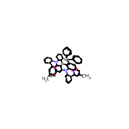 Cc1ccnc(-c2ccccc2N2c3cc(C(C)(C)C)cc4c3B3c5c2cccc5[Si](c2ccccc2)(c2ccccc2)c2cccc(c23)N4c2ccccc2-c2cc(C)ccn2)c1